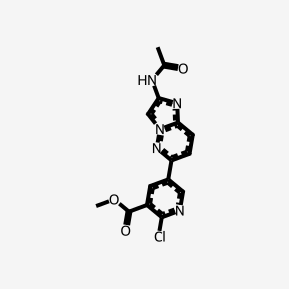 COC(=O)c1cc(-c2ccc3nc(NC(C)=O)cn3n2)cnc1Cl